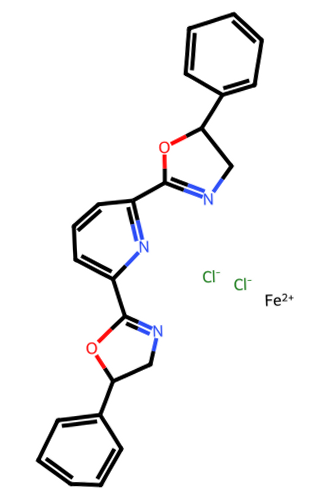 [Cl-].[Cl-].[Fe+2].c1ccc(C2CN=C(c3cccc(C4=NCC(c5ccccc5)O4)n3)O2)cc1